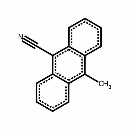 Cc1c2ccccc2c(C#N)c2ccccc12